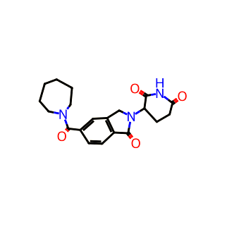 O=C1CCC(N2Cc3cc(C(=O)N4CCCCCC4)ccc3C2=O)C(=O)N1